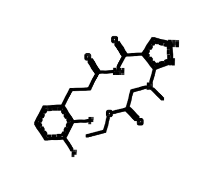 CCOC(=O)CN(C)c1n[nH]cc1C(=O)NC(=O)CCc1cccc(F)c1F